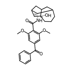 COc1cc(C(=O)c2ccccc2)cc(OC)c1C(=O)N[C@H]1C2CCC[C@@]3(O)CC1CC3C2